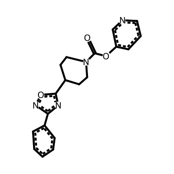 O=C(Oc1cccnc1)N1CCC(c2nc(-c3ccccc3)no2)CC1